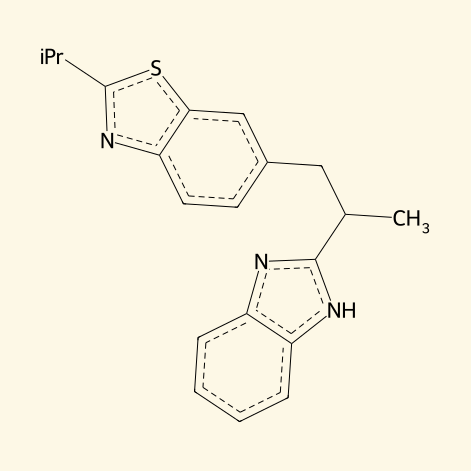 CC(C)c1nc2ccc(CC(C)c3nc4ccccc4[nH]3)cc2s1